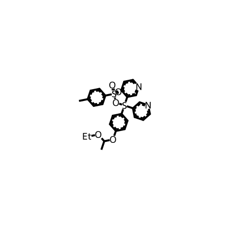 CCOC(C)Oc1ccc(S(OS(=O)(=O)c2ccc(C)cc2)(c2cccnc2)c2cccnc2)cc1